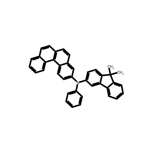 CC1(C)c2ccccc2-c2cc(N(c3ccccc3)c3ccc4c(ccc5ccc6ccccc6c54)c3)ccc21